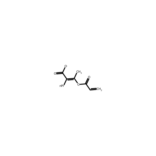 C=CC(=O)OC(C)=C(CCC)C([O])=O